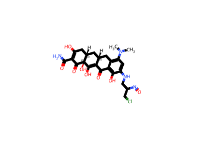 CN(C)c1cc(NCC(CCl)N=O)c(O)c2c1C[C@H]1C[C@H]3CC(O)=C(C(N)=O)C(=O)[C@@]3(O)C(O)=C1C2=O